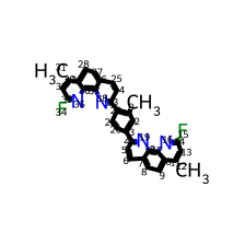 Cc1cc(-c2ccc3ccc4c(C)cc(F)nc4c3n2)ccc1-c1ccc2ccc3c(C)cc(F)nc3c2n1